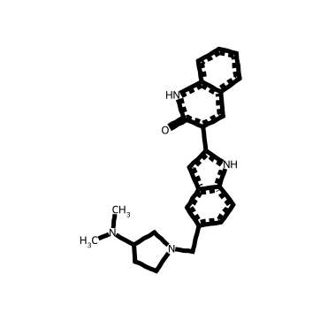 CN(C)C1CCN(Cc2ccc3[nH]c(-c4cc5ccccc5[nH]c4=O)cc3c2)C1